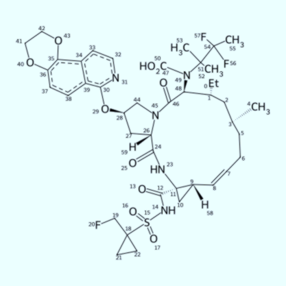 CC[C@@H]1C[C@H](C)CCC=C[C@@H]2C[C@@]2(C(=O)NS(=O)(=O)C2(CF)CC2)NC(=O)[C@@H]2C[C@@H](Oc3nccc4c5c(ccc34)OCCO5)CN2C(=O)[C@H]1N(C(=O)O)C(C)(C)C(C)(F)F